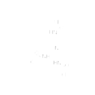 O=C(CCl)NCCCN(CCCNC(=O)CCl)CCCNC(=O)CCl